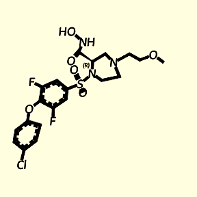 COCCN1CCN(S(=O)(=O)c2cc(F)c(Oc3ccc(Cl)cc3)c(F)c2)[C@@H](C(=O)NO)C1